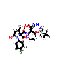 CCOC(=O)C1(C(=O)NC(C(N)=O)C(C)O[Si](C)(C)C(C)(C)C)C(C)CC(=O)N1c1ccc(F)cc1